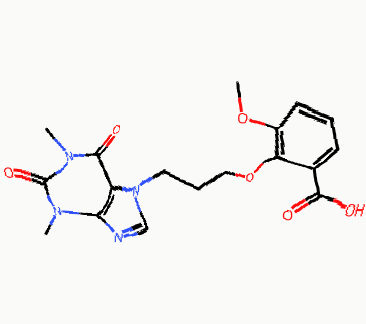 COc1cccc(C(=O)O)c1OCCCn1cnc2c1c(=O)n(C)c(=O)n2C